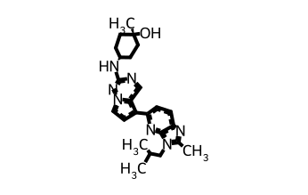 Cc1nc2ccc(-c3ccn4nc(N[C@H]5CC[C@@](C)(O)CC5)ncc34)nc2n1CC(C)C